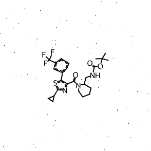 CC(C)(C)OC(=O)NCC1CCCCN1C(=O)c1nc(C2CC2)sc1-c1cccc(C(F)(F)F)c1